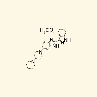 COCc1cccc2[nH]nc(-c3nc4ccc(N5CCC(N6CCCCC6)CC5)cc4[nH]3)c12